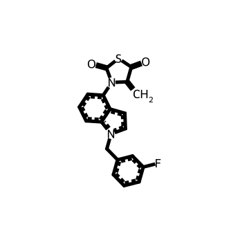 C=C1C(=O)SC(=O)N1c1cccc2c1ccn2Cc1cccc(F)c1